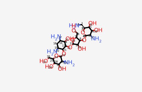 NC[C@@H]1O[C@H](OC2C(CO)OC(OC3C(O)C(N)CC(N)C3OC3OC(CO)C(O)C(O)C3N)C2O)C(N)C(O)C1O